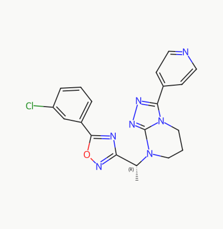 C[C@H](c1noc(-c2cccc(Cl)c2)n1)N1CCCn2c(-c3ccncc3)nnc21